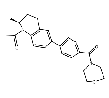 CC(=O)N1c2ccc(-c3ccc(C(=O)N4CCOCC4)nc3)cc2CC[C@@H]1C